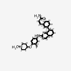 CN1CCC(Oc2ccc(Nc3ncc4cccc(-c5cccc(C=CC(N)=O)c5)c4n3)cc2F)CC1